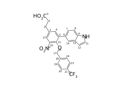 O=C(O)CCc1cc(-c2ccc3[nH]ccc3c2)c(OCc2ccc(C(F)(F)F)cc2)c([N+](=O)[O-])c1